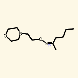 CCCC/C(C)=N\OCCN1CCOCC1